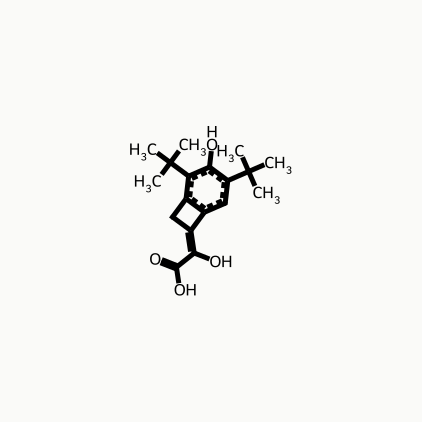 CC(C)(C)c1cc2c(c(C(C)(C)C)c1O)CC2=C(O)C(=O)O